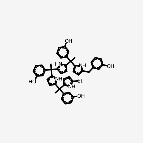 CCc1ccc(C(C)(c2cccc(O)c2)c2ccc(C(C)(c3cccc(O)c3)c3ccc(C(C)(c4cccc(O)c4)c4ccc(Cc5cccc(O)c5)[nH]4)[nH]3)[nH]2)[nH]1